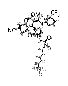 COC(=O)C1=C(C)N(c2cccc(C(F)(F)F)c2)c2nn(CC(=O)N(C)CCCCC[N+](C)(C)C)c(=O)n2C1c1ccc(C#N)cc1